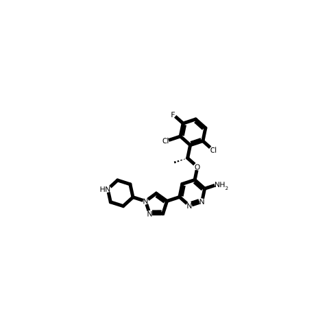 C[C@@H](Oc1cc(-c2cnn(C3CCNCC3)c2)nnc1N)c1c(Cl)ccc(F)c1Cl